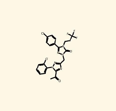 CC(=O)c1nc(Cn2nc(-c3ccc(Cl)cc3)n(CCC(F)(F)F)c2=O)nn1-c1ccccc1Cl